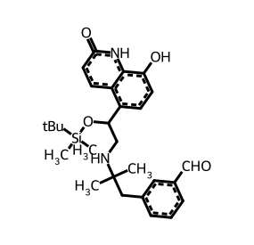 CC(C)(Cc1cccc(C=O)c1)NCC(O[Si](C)(C)C(C)(C)C)c1ccc(O)c2[nH]c(=O)ccc12